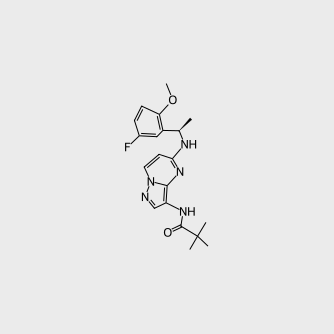 COc1ccc(F)cc1[C@@H](C)Nc1ccn2ncc(NC(=O)C(C)(C)C)c2n1